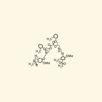 COc1cc(S(C)(=O)=O)c(C)cc1OCCNCC(COc1ccccc1C)OC(=O)C(=O)OC(CNCCOc1cc(C)c(S(C)(=O)=O)cc1OC)COc1ccccc1C